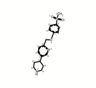 CS(=O)(=O)c1ccc(OCc2ccc(C3CCNCC3)cn2)cc1